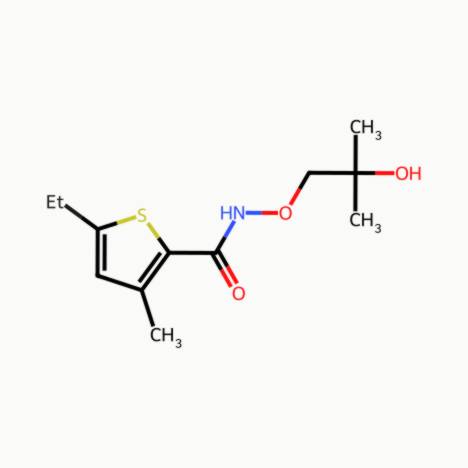 CCc1cc(C)c(C(=O)NOCC(C)(C)O)s1